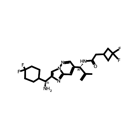 C=C(C)[C@@H](NC(=O)CC1CC(F)(F)C1)c1cnn2cc([C@@H](N)C3CCC(F)(F)CC3)nc2c1